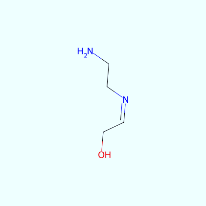 NCC/N=C\CO